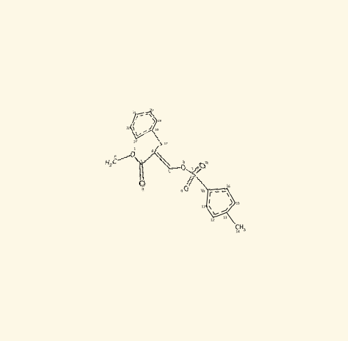 COC(=O)C(=COS(=O)(=O)c1ccc(C)cc1)Sc1ccccc1